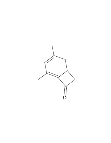 CC1=CC(C)=C2C(=O)CC2C1